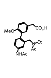 CCN(Cc1cc(NC(C)=O)ccc1-c1cc(CC(=O)O)ccc1OC)C(C)=O